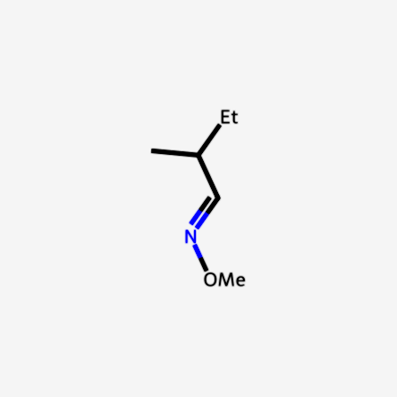 CCC(C)C=NOC